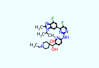 CCN1CCC(O)([C@H](O)c2ccc(Nc3ncc(F)c(-c4cc(F)c5nc(C)n(C(C)C)c5c4)n3)nc2)CC1